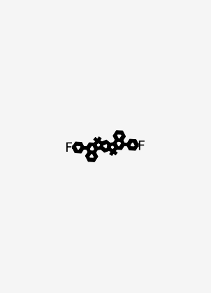 CC1(C)c2cc3c(cc2-c2c1cc(-c1ccc(F)cc1)c1ccccc21)C(C)(C)c1cc(-c2ccc(F)cc2)c2ccccc2c1-3